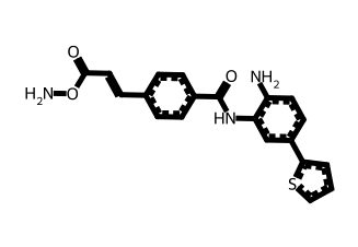 NOC(=O)/C=C/c1ccc(C(=O)Nc2cc(-c3cccs3)ccc2N)cc1